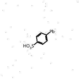 O=S(=O)(O)c1cc[c]([Pb])cc1